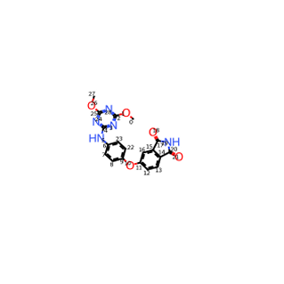 COc1nc(Nc2ccc(Oc3ccc4c(c3)C(=O)NC4=O)cc2)nc(OC)n1